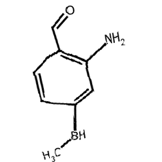 CBc1ccc(C=O)c(N)c1